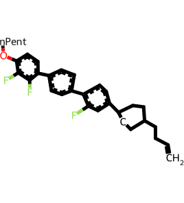 C=CCCC1CCC(c2ccc(-c3ccc(-c4ccc(OCCCCC)c(F)c4F)cc3)c(F)c2)CC1